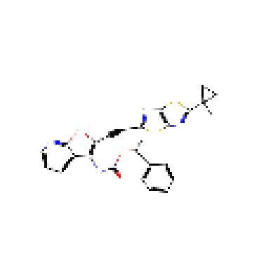 CC(OC(=O)Nc1c(C#Cc2nc3sc(C4(C(=O)O)CC4)nc3s2)oc2ncccc12)c1ccccc1